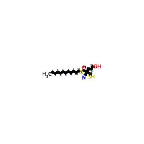 CCCCCCCCCCCCSC(=O)C(C#N)(CS)CCCO